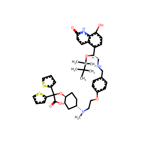 CN(CCOc1ccc(CNC[C@H](O[Si](C)(C)C(C)(C)C)c2ccc(O)c3[nH]c(=O)ccc23)cc1)[C@H]1CC[C@H](OC(C(=O)O)(c2cccs2)c2cccs2)CC1